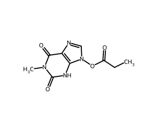 CCC(=O)On1cnc2c(=O)n(C)c(=O)[nH]c21